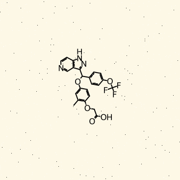 Cc1cc(OC(c2ccc(OC(F)(F)F)cc2)c2n[nH]c3ccncc23)ccc1OCC(=O)O